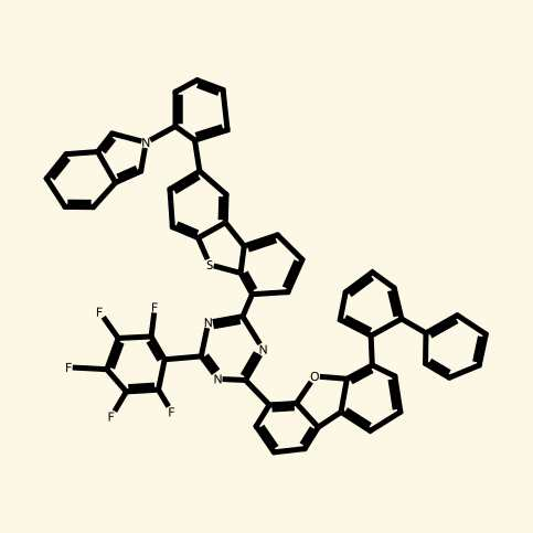 Fc1c(F)c(F)c(-c2nc(-c3cccc4c3oc3c(-c5ccccc5-c5ccccc5)cccc34)nc(-c3cccc4c3sc3ccc(-c5ccccc5-n5cc6ccccc6c5)cc34)n2)c(F)c1F